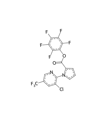 O=C(Oc1c(F)c(F)c(F)c(F)c1F)c1cccn1-c1ncc(C(F)(F)F)cc1Cl